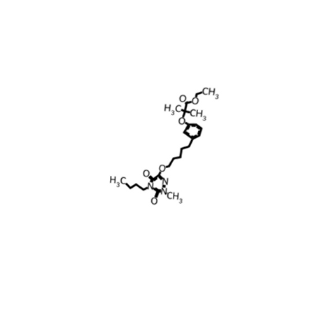 CCCCn1c(=O)c(OCCCCCc2cccc(OC(C)(C)C(=O)OCC)c2)nn(C)c1=O